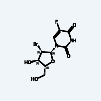 O=c1[nH]c(=O)n([C@@H]2O[C@H](CO)[C@@H](O)[C@@H]2Br)cc1F